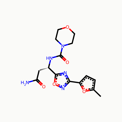 Cc1ccc(-c2noc([C@H](CC(N)=O)NC(=O)N3CCOCC3)n2)o1